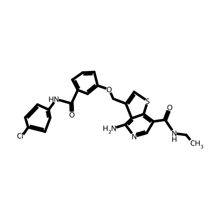 CCNC(=O)c1cnc(N)c2c(COc3cccc(C(=O)Nc4ccc(Cl)cc4)c3)csc12